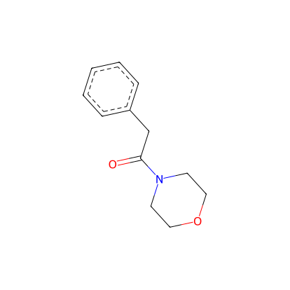 O=C(Cc1ccccc1)N1CCOCC1